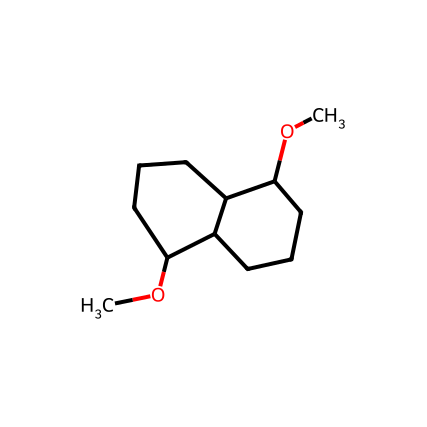 COC1CCCC2C(OC)CCCC12